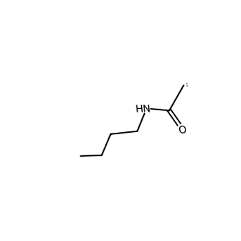 [CH]C(=O)NCCCC